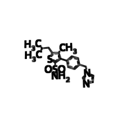 Cc1c(CC(C)C)sc(S(N)(=O)=O)c1-c1ccc(Cn2ccnc2)cc1